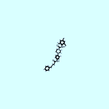 Cc1cc(C)c(NC(=O)N2CCN(c3ccc(NC(=O)CCCc4ccccc4)cc3)CC2)c(C)c1